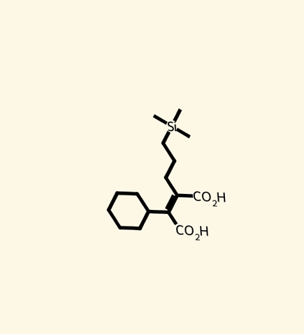 C[Si](C)(C)CCCC(C(=O)O)=C(C(=O)O)C1CCCCC1